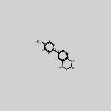 Cc1ccc(-c2ccc3c(c2)SCCS3)cc1